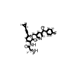 CN[C@H](C)C(=O)Nc1ccc(C#CC2CC2)n(Cc2cncc(C(=O)c3ccc(F)cc3)c2)c1=O